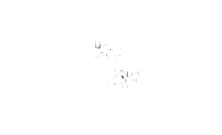 C[C@H](CCC(=O)N(O)C(O)(O)C(=O)O)[C@H]1CCC2C3CC[C@@H]4CCCC[C@]4(C)C3CC[C@@]21C